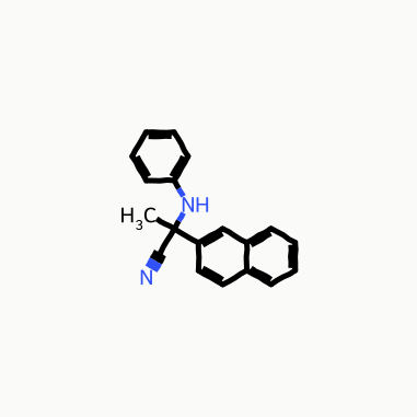 CC(C#N)(Nc1ccccc1)c1ccc2ccccc2c1